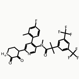 Cc1cc(F)ccc1-c1cc(C2CC[SH4]C(=O)C2=O)ncc1N(C)C(=O)C(C)(C)c1cc(C(F)(F)F)cc(C(F)(F)F)c1